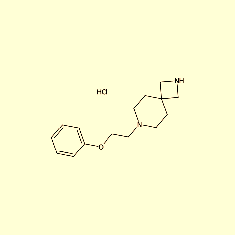 Cl.c1ccc(OCCN2CCC3(CC2)CNC3)cc1